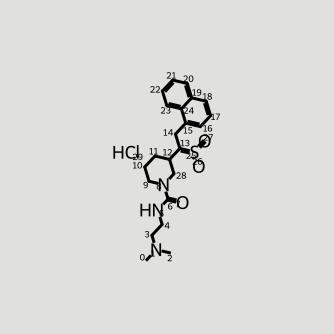 CN(C)CCNC(=O)N1CCCC(C(Cc2cccc3ccccc23)=S(=O)=O)C1.Cl